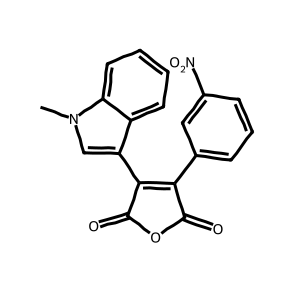 Cn1cc(C2=C(c3cccc([N+](=O)[O-])c3)C(=O)OC2=O)c2ccccc21